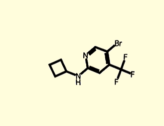 FC(F)(F)c1cc(NC2CCC2)ncc1Br